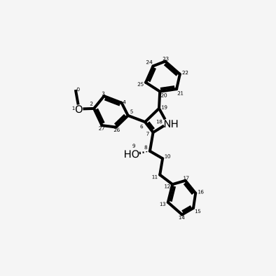 COc1ccc(C2=C([C@@H](O)CCc3ccccc3)NC2c2ccccc2)cc1